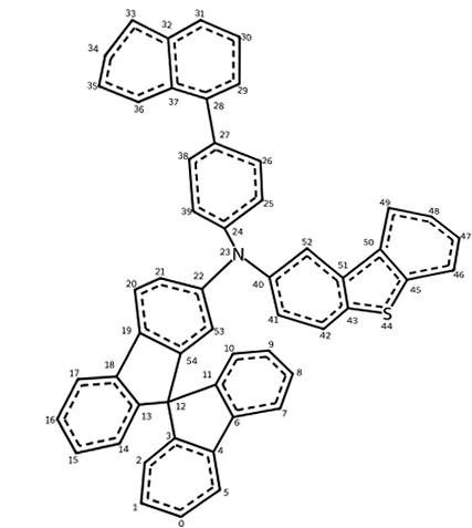 c1ccc2c(c1)-c1ccccc1C21c2ccccc2-c2ccc(N(c3ccc(-c4cccc5ccccc45)cc3)c3ccc4sc5ccccc5c4c3)cc21